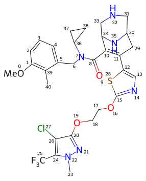 COc1cccc(CN(C(=O)C2=C(c3cnc(OCCOc4nn(C)c(C(F)(F)F)c4Cl)s3)CC3CNCC2N3)C2CC2)c1C